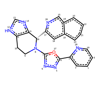 c1ccc(-c2nnc(N3CCc4[nH]cnc4[C@@H]3c3cc4ccccc4cn3)o2)nc1